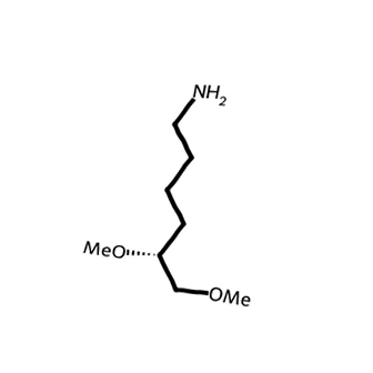 COC[C@@H](CCCCN)OC